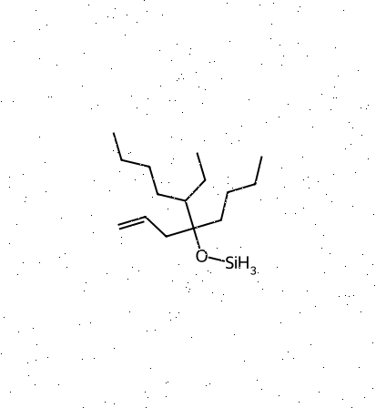 C=CCC(CCCC)(O[SiH3])C(CC)CCCC